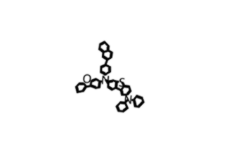 c1ccc(N(c2ccccc2)c2ccc3sc4cc(N(c5ccc(-c6ccc7ccccc7c6)cc5)c5ccc6c(c5)oc5ccccc56)ccc4c3c2)cc1